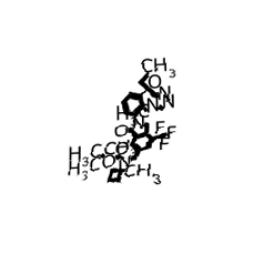 C[C@H]1C[C@@](c2cccc(N3Cc4c(cc(CN(C(=O)OC(C)(C)C)C5(C)CCC5)cc4C(F)(F)F)C3=O)c2)(c2nncn2C)O1